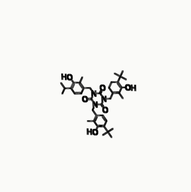 CC1=C(Cn2c(=O)n(Cc3ccc(C(C)C)c(O)c3C)c(=O)n(Cc3ccc(C(C)(C)C)c(O)c3C)c2=O)CCC(C(C)(C)C)=C1O